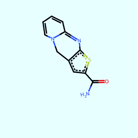 NC(=O)c1cc2c(s1)N=C1C=CC=CN1C2